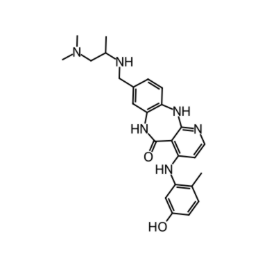 Cc1ccc(O)cc1Nc1ccnc2c1C(=O)Nc1cc(CNC(C)CN(C)C)ccc1N2